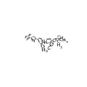 COc1cc(-n2ccc(-c3ccc(C(F)(F)F)cn3)cc2=O)ccc1OCC(C)(C)C